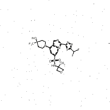 CC1(NS(=O)(=O)c2cc(N3CCC(O)(C(F)(F)F)CC3)c3cnc(-c4nnc(C(F)F)s4)n3c2)COC1